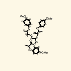 COc1ccc(OC(C)C(=O)OCC(COC(=O)C(C)Oc2ccc(OC)cc2)OC(=O)C(C)Oc2ccc(OC)cc2)cc1